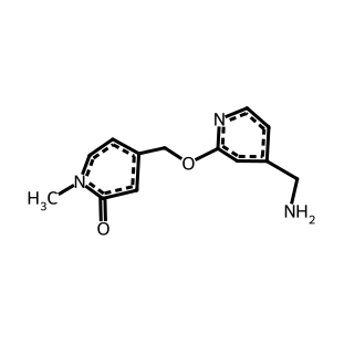 Cn1ccc(COc2cc(CN)ccn2)cc1=O